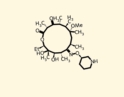 CC[C@H]1OC(=O)[C@H](C)C(=O)[C@H](C)[C@@H](C)[C@](C)(OC)C[C@@H](C)/C(=N\O[C@@H]2CCCNC2)[C@H](C)[C@@H](O)[C@]1(C)O